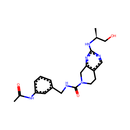 CC(=O)Nc1cccc(CNC(=O)N2CCc3cnc(N[C@@H](C)CO)nc3C2)c1